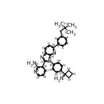 CC(C)(C)Cc1cccc(-c2ccc3nc(-c4cccnc4N)n(-c4ccc(C5(N)CCC5)cc4)c3n2)c1